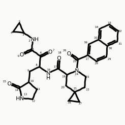 O=C(NC1CC1)C(=O)C(CC1CCNC1=O)NC(=O)C1CC2(CCN1C(=O)c1ccc3ccccc3c1)CC2